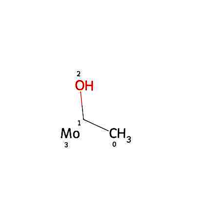 CCO.[Mo]